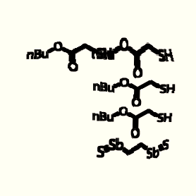 CCCCOC(=O)CS.CCCCOC(=O)CS.CCCCOC(=O)CS.CCCCOC(=O)CS.[S]=[Sb][CH2][CH2][Sb]=[S]